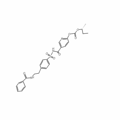 CC[C@@H](C)OC(=O)Oc1ccc(C(=O)NS(=O)(=O)c2ccc(CCNC(=O)c3ccccc3)cc2)cn1